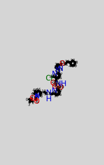 CC(C)(C)OC(=O)N1C[C@@H](CCNCc2cccc(S(=O)(=O)NC(=O)c3ccc(-n4ccc(OCCC5CCCC5)n4)nc3Cl)n2)CC1(C)C